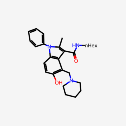 CCCCCCNC(=O)c1c(C)n(-c2ccccc2)c2ccc(O)c(CN3CCCCC3)c12